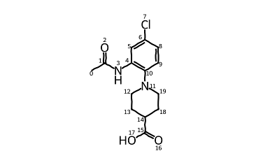 CC(=O)Nc1cc(Cl)ccc1N1CCC(C(=O)O)CC1